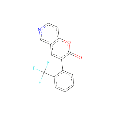 O=c1oc2ccncc2cc1-c1ccccc1C(F)(F)F